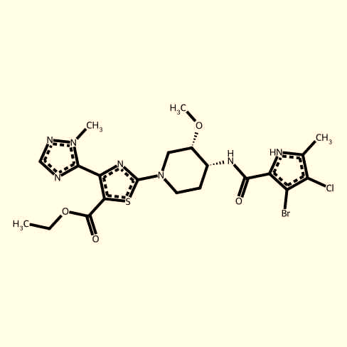 CCOC(=O)c1sc(N2CC[C@@H](NC(=O)c3[nH]c(C)c(Cl)c3Br)[C@@H](OC)C2)nc1-c1ncnn1C